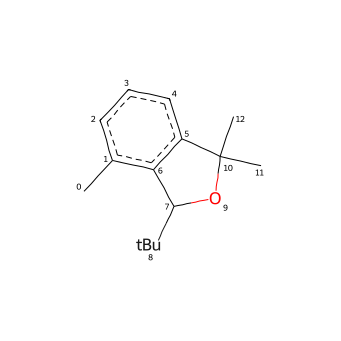 Cc1cccc2c1C(C(C)(C)C)OC2(C)C